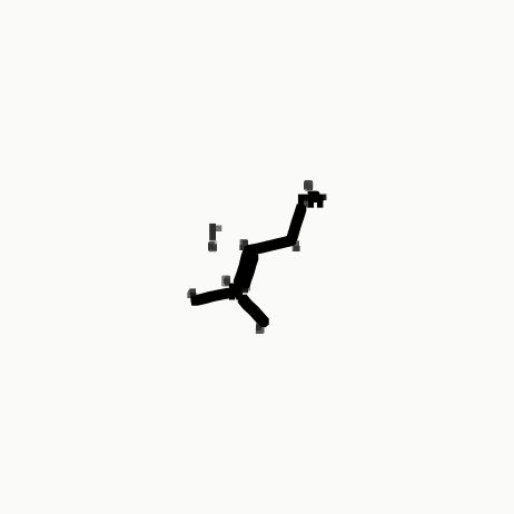 CCCCC=[N+](C)C.[I-]